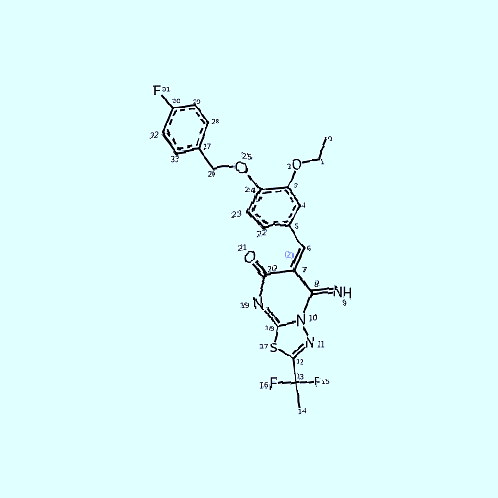 CCOc1cc(/C=C2/C(=N)N3N=C(C(C)(F)F)SC3=NC2=O)ccc1OCc1ccc(F)cc1